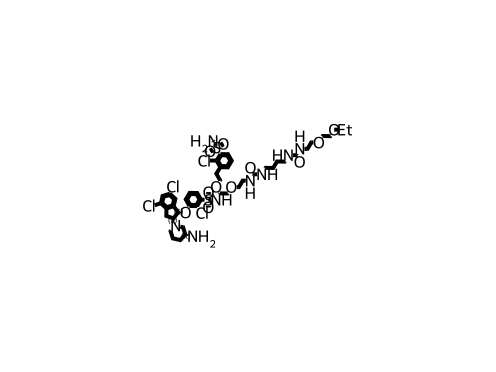 CCOCCOCCNC(=O)NCCCCNC(=O)NCCOCC(NS(=O)(=O)c1cccc(O[C@H]2c3cc(Cl)cc(Cl)c3C[C@@H]2N2CCC[C@@H](N)C2)c1Cl)OCCc1cccc(S(N)(=O)=O)c1Cl